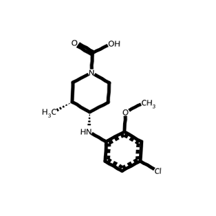 COc1cc(Cl)ccc1N[C@H]1CCN(C(=O)O)C[C@H]1C